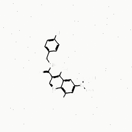 CC(C)(C)N(C(=O)O)c1cc(F)c2ncc(C(=O)NCc3ccc(Cl)cc3)c(O)c2c1